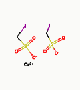 O=S(=O)([O-])CI.O=S(=O)([O-])CI.[Ca+2]